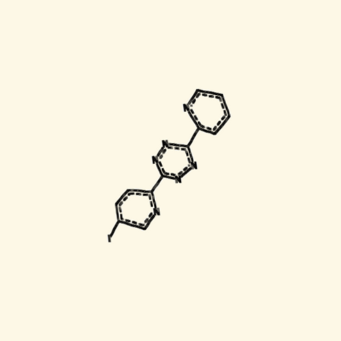 Ic1ccc(-c2nnc(-c3ccccn3)nn2)nc1